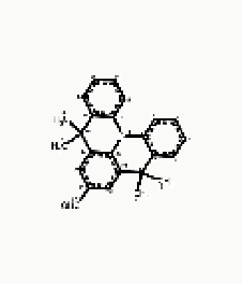 CC1(C)c2ccccc2N2c3ccccc3C(C)(C)c3cc(C=O)cc1c32